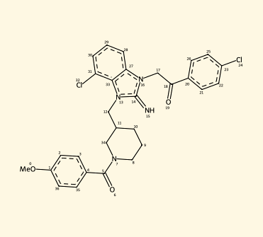 COc1ccc(C(=O)N2CCCC(Cn3c(=N)n(CC(=O)c4ccc(Cl)cc4)c4cccc(Cl)c43)C2)cc1